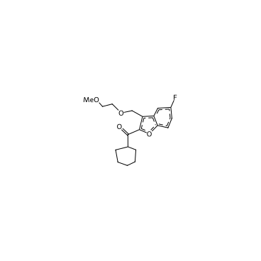 COCCOCc1c(C(=O)C2CCCCC2)oc2ccc(F)cc12